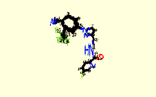 N#Cc1ccc(-n2ccc(CNC(=O)c3ccc(F)cn3)n2)cc1C(F)(F)F